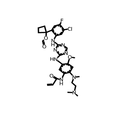 C=CC(=O)Nc1cc(Nc2ncnc(Nc3cc(Cl)c(F)cc3C3(OC=O)CCC3)n2)c(OC)cc1N(C)CCN(C)C